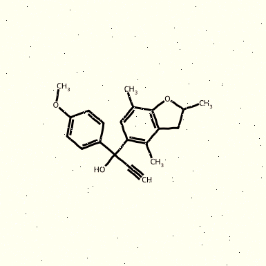 C#CC(O)(c1ccc(OC)cc1)c1cc(C)c2c(c1C)CC(C)O2